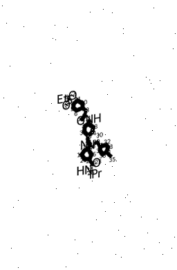 CCS(=O)(=O)c1ccc(CC(=O)Nc2ccc(-c3nc4ccc(C(=O)NC(C)C)cc4n3[C@H](C)c3ccc(C)cc3)cc2)cc1